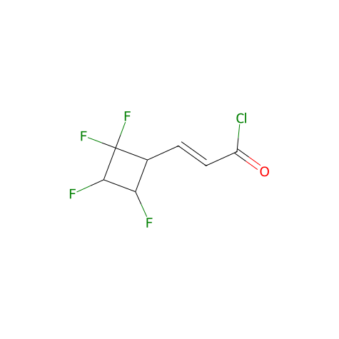 O=C(Cl)C=CC1C(F)C(F)C1(F)F